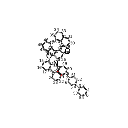 c1ccc(-c2ccc(-c3ccc(N(c4ccccc4-c4ccccc4)c4cc5oc6ccc7ccccc7c6c5c5c4oc4ccccc45)cc3)cc2)cc1